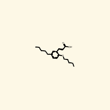 CCCCCOc1ccc(CCCCC)cc1C=CC(=O)O